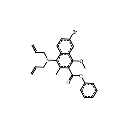 C=CCN(CC=C)c1c(C)c(C(=O)Oc2ccccc2)c(OC)c2cc(Br)ccc12